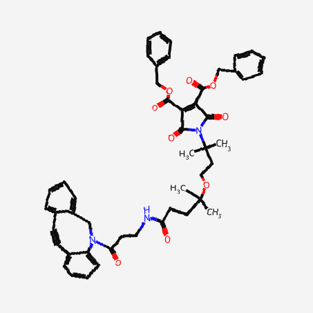 CC(C)(CCC(=O)NCCC(=O)N1Cc2ccccc2C#Cc2ccccc21)OCCC(C)(C)N1C(=O)C(C(=O)OCc2ccccc2)=C(C(=O)OCc2ccccc2)C1=O